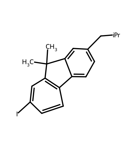 CC(C)Cc1ccc2c(c1)C(C)(C)c1cc(I)ccc1-2